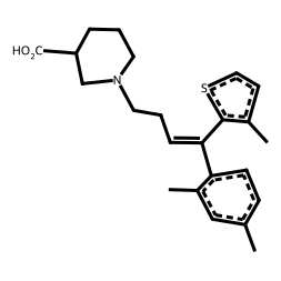 Cc1ccc(/C(=C/CCN2CCCC(C(=O)O)C2)c2sccc2C)c(C)c1